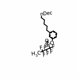 CCCCCCCCCCCCCCCc1cccc(OS(=O)(=O)C(F)(F)C(F)(F)C(C)(F)F)c1